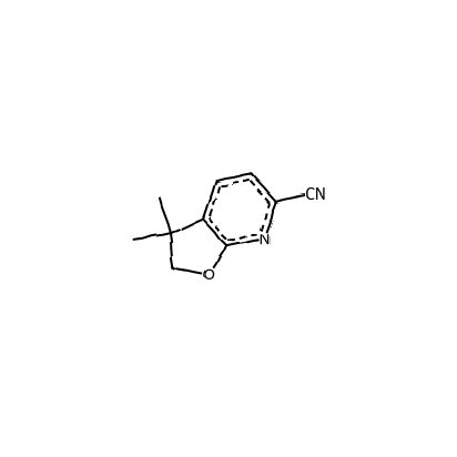 CC1(C)COc2nc(C#N)ccc21